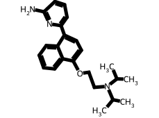 CC(C)N(CCOc1ccc(-c2cccc(N)n2)c2ccccc12)C(C)C